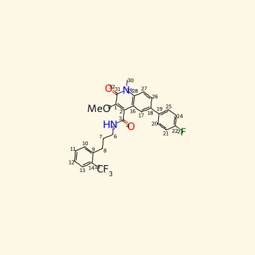 COc1c(C(=O)NCCCc2ccccc2C(F)(F)F)c2cc(-c3ccc(F)cc3)ccc2n(C)c1=O